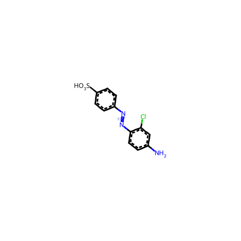 Nc1ccc(/N=N/c2ccc(S(=O)(=O)O)cc2)c(Cl)c1